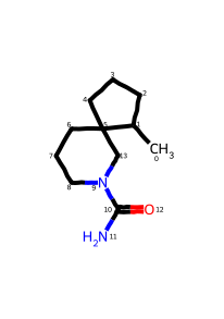 CC1CCCC12CCCN(C(N)=O)C2